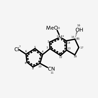 CO[n+]1cc(-c2cc(Cl)ccc2C#N)cc2c1[C@H](O)CC2